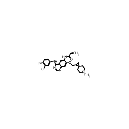 C=CC(=O)Nc1cc2c(Nc3ccc(F)c(Cl)c3)ncnc2cc1OCC1CC12CCN(C)CC2